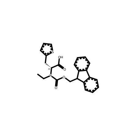 CCN(C(=O)OCC1c2ccccc2-c2ccccc21)[C@H](Cc1cccs1)C(=O)O